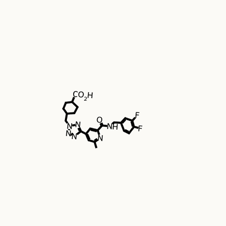 Cc1cc(-c2nnn(CC3CCC(C(=O)O)CC3)n2)cc(C(=O)NCc2ccc(F)c(F)c2)n1